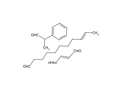 CC(C=O)c1ccccc1.CC=CCCCCCCCC=O.CCCCCCC=CC=O